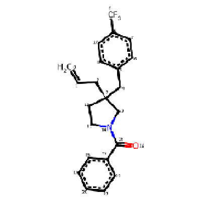 C=CC[C@]1(Cc2ccc(C(F)(F)F)cc2)CCN(C(=O)c2ccccc2)C1